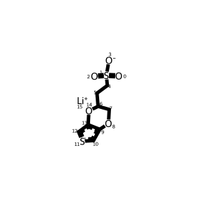 O=S(=O)([O-])CCC1COc2cscc2O1.[Li+]